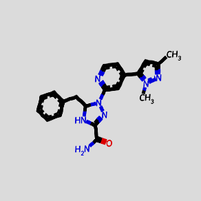 Cc1cc(-c2ccnc(N3N=C(C(N)=O)NC3Cc3ccccc3)c2)n(C)n1